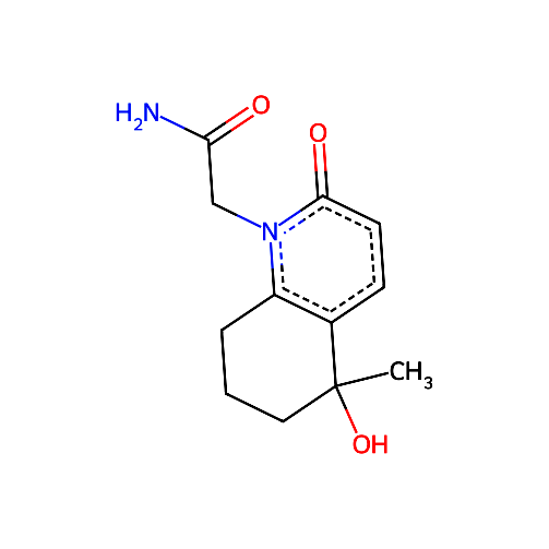 CC1(O)CCCc2c1ccc(=O)n2CC(N)=O